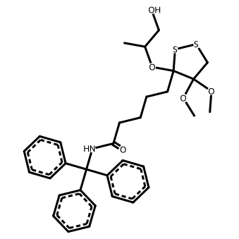 COC1(OC)CSSC1(CCCCC(=O)NC(c1ccccc1)(c1ccccc1)c1ccccc1)OC(C)CO